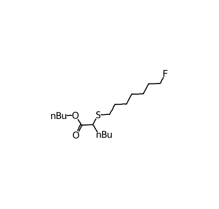 CCCCOC(=O)C(CCCC)SCCCCCCCF